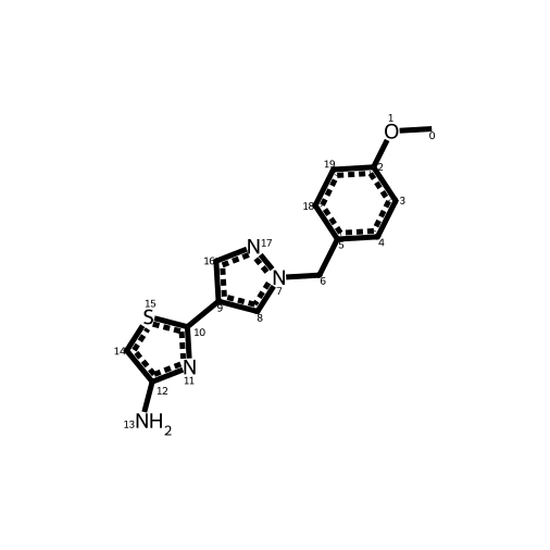 COc1ccc(Cn2cc(-c3nc(N)cs3)cn2)cc1